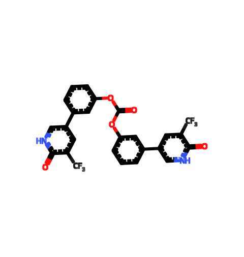 O=C(Oc1cccc(-c2c[nH]c(=O)c(C(F)(F)F)c2)c1)Oc1cccc(-c2c[nH]c(=O)c(C(F)(F)F)c2)c1